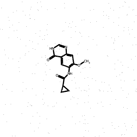 COc1cc2nc[nH]c(=O)c2cc1NC(=O)C1CC1